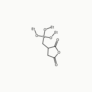 CCO[Si](CC1CC(=O)OC1=O)(OCC)OCC